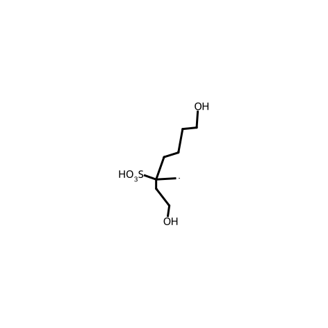 [CH2]C(CCO)(CCCCO)S(=O)(=O)O